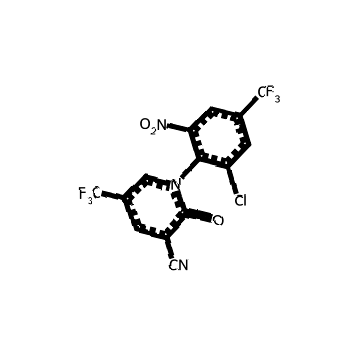 N#Cc1cc(C(F)(F)F)cn(-c2c(Cl)cc(C(F)(F)F)cc2[N+](=O)[O-])c1=O